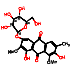 COc1c(O[C@@H]2O[C@H](CO)[C@@H](O)[C@H](O)[C@H]2O)cc2c(c1O)C(=O)c1c(cc(C)c(O)c1OC)C2=O